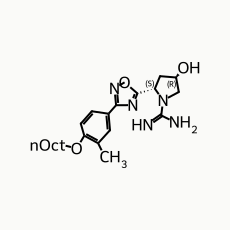 CCCCCCCCOc1ccc(-c2noc([C@@H]3C[C@@H](O)CN3C(=N)N)n2)cc1C